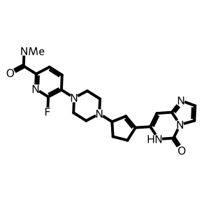 CNC(=O)c1ccc(N2CCN(C3C=C(c4cc5nccn5c(=O)[nH]4)CC3)CC2)c(F)n1